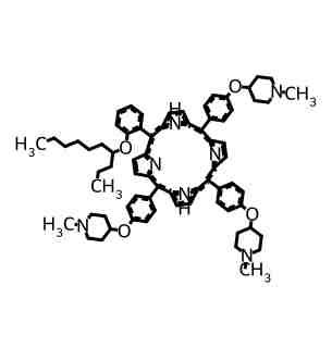 CCCCCCC(CCC)Oc1ccccc1-c1c2nc(c(-c3ccc(OC4CCN(C)CC4)cc3)c3ccc([nH]3)c(-c3ccc(OC4CCN(C)CC4)cc3)c3nc(c(-c4ccc(OC5CCN(C)CC5)cc4)c4ccc1[nH]4)C=C3)C=C2